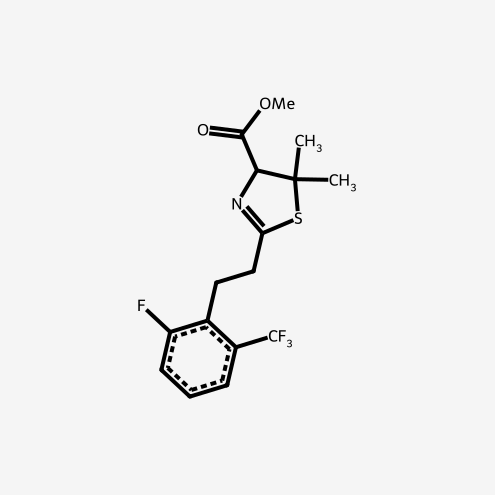 COC(=O)C1N=C(CCc2c(F)cccc2C(F)(F)F)SC1(C)C